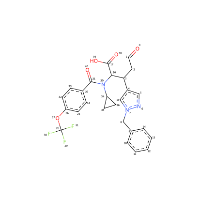 O=CCC(c1cnn(Cc2ccccc2)c1)C(C(=O)O)N(C(=O)c1ccc(OC(F)(F)F)cc1)C1CC1